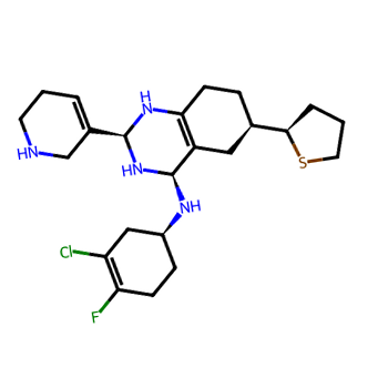 FC1=C(Cl)C[C@@H](N[C@H]2N[C@@H](C3=CCCNC3)NC3=C2C[C@H]([C@H]2CCCS2)CC3)CC1